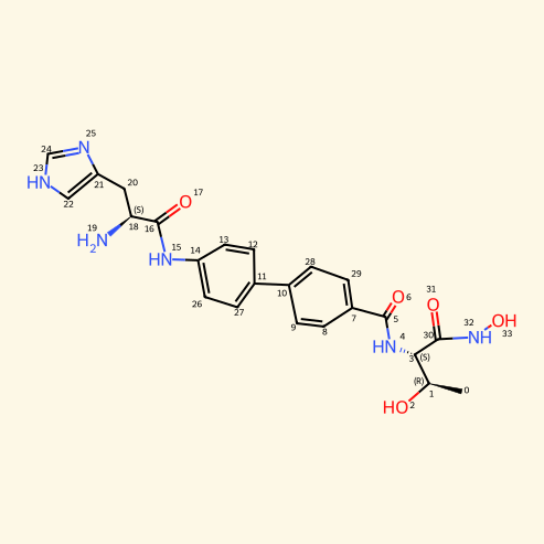 C[C@@H](O)[C@H](NC(=O)c1ccc(-c2ccc(NC(=O)[C@@H](N)Cc3c[nH]cn3)cc2)cc1)C(=O)NO